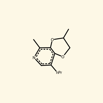 CCCc1cnc(C)c2c1OCC(C)O2